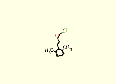 Cc1cccc(C)c1CCC1OC1Cl